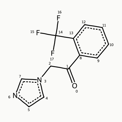 O=C(Cn1ccnc1)c1ccccc1C(F)(F)F